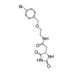 O=C(CC1NC(=O)NC1=O)NCCOCc1ccc(Br)cc1